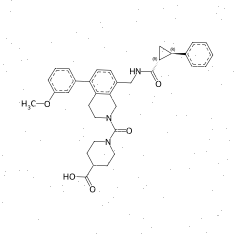 COc1cccc(-c2ccc(CNC(=O)[C@@H]3C[C@H]3c3ccccc3)c3c2CCN(C(=O)N2CCC(C(=O)O)CC2)C3)c1